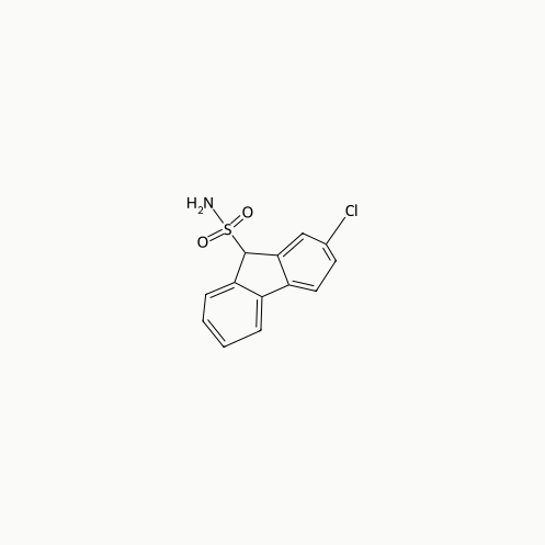 NS(=O)(=O)C1c2ccccc2-c2ccc(Cl)cc21